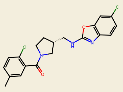 Cc1ccc(Cl)c(C(=O)N2CC[C@H](CNc3nc4ccc(Cl)cc4o3)C2)c1